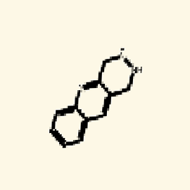 c1ccc2nc3c(cc2c1)CNNC3